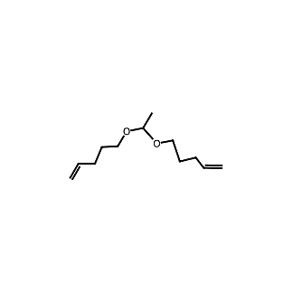 C=CCCCOC(C)OCCCC=C